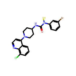 O=C(NC1CCN(c2ccnc3c(Cl)cccc23)CC1)N(S)c1cccc(Br)c1